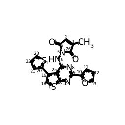 CC1=CC(=O)N(Nc2nc(-c3ccco3)nc3scc(-c4cccs4)c23)C1=O